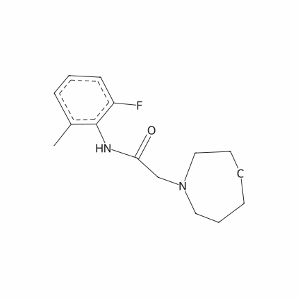 Cc1cccc(F)c1NC(=O)CN1CCCCCC1